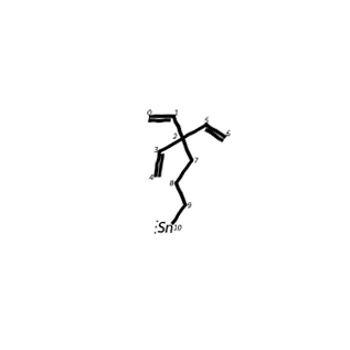 C=CC(C=C)(C=C)CC[CH2][Sn]